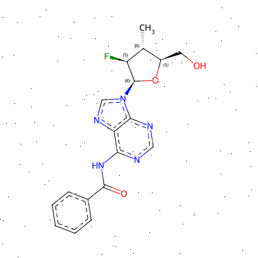 C[C@H]1[C@H](F)[C@H](n2cnc3c(NC(=O)c4ccccc4)ncnc32)O[C@@H]1CO